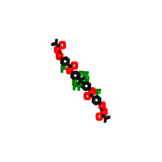 C=C(C)C(=O)OCOc1ccc(C(=O)Oc2ccc(C(c3ccc(OC(=O)c4ccc(OCOC(=O)C(=C)C)cc4F)cc3)(C(F)(F)F)C(F)(F)F)cc2)c(F)c1